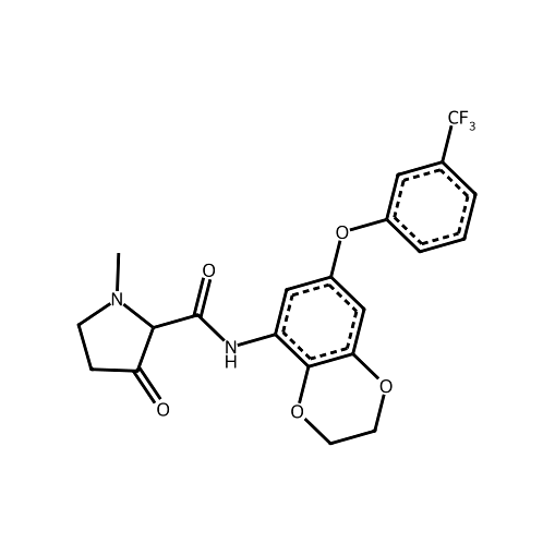 CN1CCC(=O)C1C(=O)Nc1cc(Oc2cccc(C(F)(F)F)c2)cc2c1OCCO2